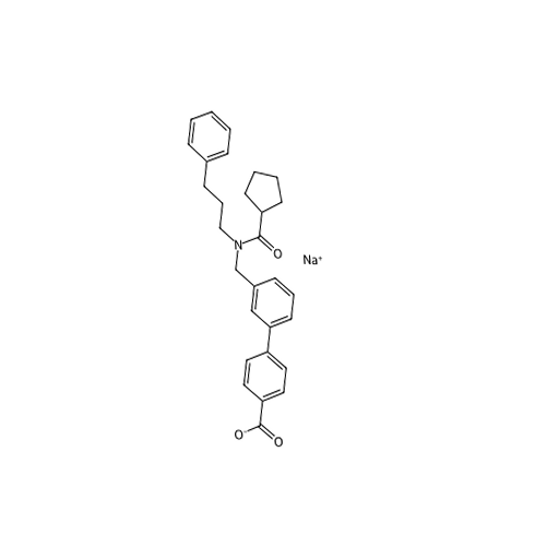 O=C([O-])c1ccc(-c2cccc(CN(CCCc3ccccc3)C(=O)C3CCCC3)c2)cc1.[Na+]